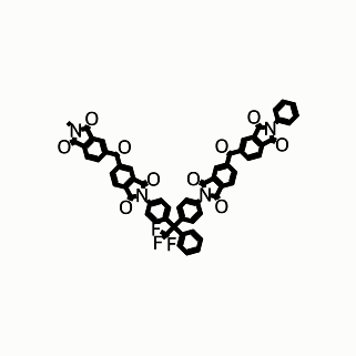 CN1C(=O)c2ccc(C(=O)c3ccc4c(c3)C(=O)N(c3ccc(C(c5ccccc5)(c5ccc(N6C(=O)c7ccc(C(=O)c8ccc9c(c8)C(=O)N(c8ccccc8)C9=O)cc7C6=O)cc5)C(F)(F)F)cc3)C4=O)cc2C1=O